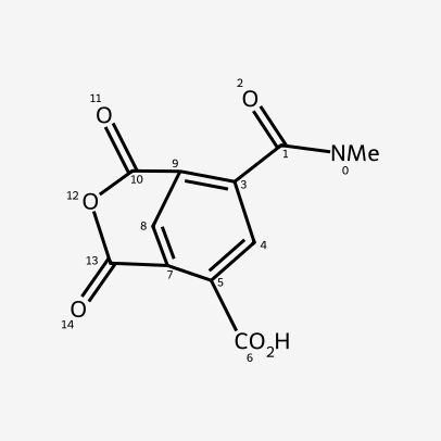 CNC(=O)c1cc(C(=O)O)c2cc1C(=O)OC2=O